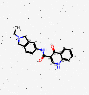 CCN1Cc2ccc(NC(=O)c3c[nH]c4ccccc4c3=O)cc2C1